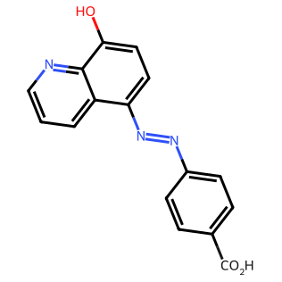 O=C(O)c1ccc(/N=N/c2ccc(O)c3ncccc23)cc1